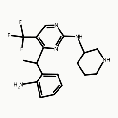 CC(c1ccccc1N)c1nc(NC2CCCNC2)ncc1C(F)(F)F